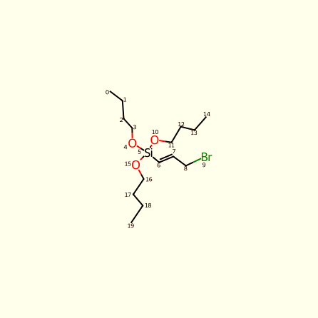 CCCCO[Si](C=CCBr)(OCCCC)OCCCC